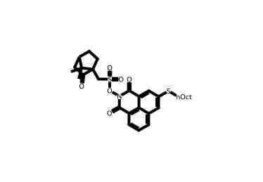 CCCCCCCCSc1cc2c3c(cccc3c1)C(=O)N(OS(=O)(=O)CC13CCC(CC1=O)C3(C)C)C2=O